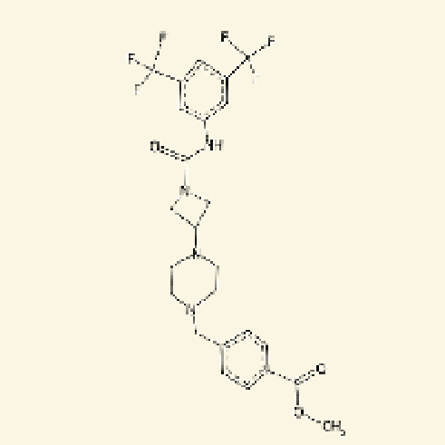 COC(=O)c1ccc(CN2CCN(C3CN(C(=O)Nc4cc(C(F)(F)F)cc(C(F)(F)F)c4)C3)CC2)cc1